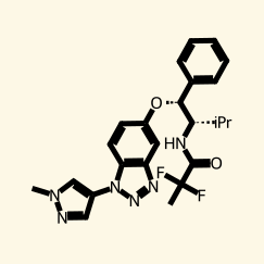 CC(C)[C@H](NC(=O)C(C)(F)F)[C@H](Oc1ccc2c(c1)nnn2-c1cnn(C)c1)c1ccccc1